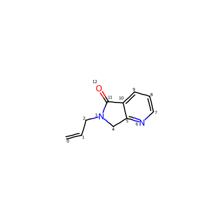 C=CCN1Cc2ncccc2C1=O